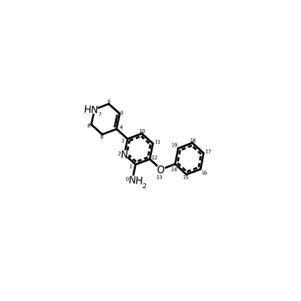 Nc1nc(C2=CCNCC2)ccc1Oc1ccccc1